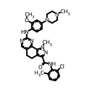 COc1cc(N2CCN(C)CC2)ccc1Nc1ncc2c(n1)-c1c(c(C(=O)Nc3c(C)cccc3Cl)nn1C)CC2